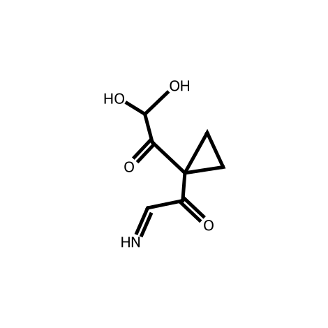 N=CC(=O)C1(C(=O)C(O)O)CC1